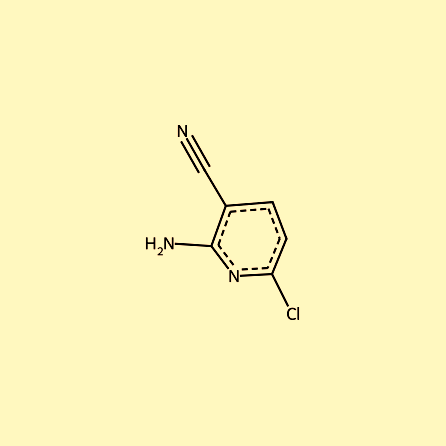 N#Cc1ccc(Cl)nc1N